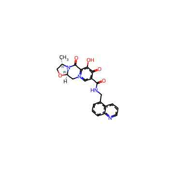 C[C@H]1CO[C@@H]2Cn3cc(C(=O)NCc4cccc5ncccc45)c(=O)c(O)c3C(=O)N12